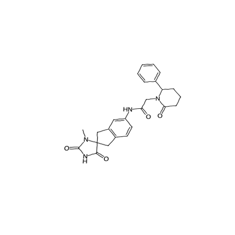 CN1C(=O)NC(=O)C12Cc1ccc(NC(=O)CN3C(=O)CCCC3c3ccccc3)cc1C2